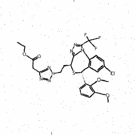 CCOC(=O)Cc1nnn(CC[C@@H]2S[C@@H](c3cccc(OC)c3OC)c3cc(Cl)ccc3-n3c2nnc3C(F)(F)F)n1